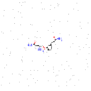 NC(=O)CCc1cccc(OC[C@@H](N)CCC(N)=O)c1